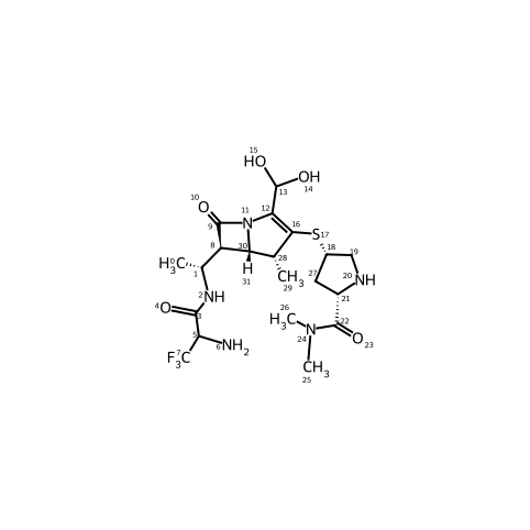 C[C@@H](NC(=O)C(N)C(F)(F)F)[C@H]1C(=O)N2C(C(O)O)=C(S[C@@H]3CN[C@H](C(=O)N(C)C)C3)[C@H](C)[C@H]12